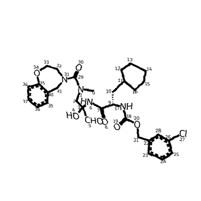 CN(CC(O)(C=O)NC(=O)[C@H](CC1CCCCC1)NC(=O)OCc1cccc(Cl)c1)C(=O)N1CCOc2ccccc2C1